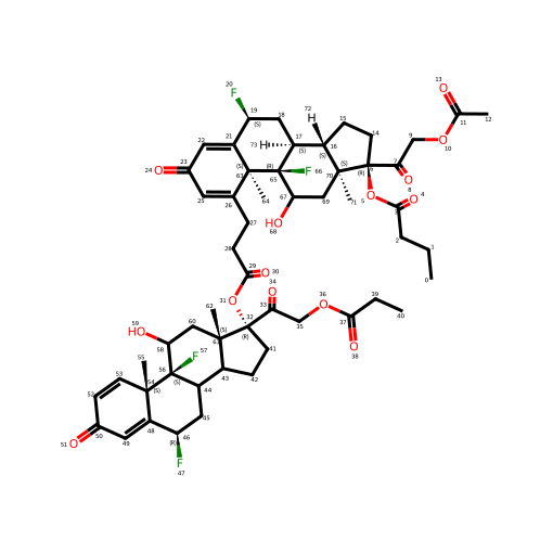 CCCC(=O)O[C@]1(C(=O)COC(C)=O)CC[C@H]2[C@@H]3C[C@H](F)C4=CC(=O)C=C(CCC(=O)O[C@]5(C(=O)COC(=O)CC)CCC6C7C[C@@H](F)C8=CC(=O)C=C[C@]8(C)[C@]7(F)C(O)C[C@@]65C)[C@]4(C)[C@@]3(F)C(O)C[C@@]21C